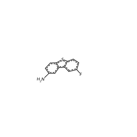 Nc1ccc2sc3ccc(F)cc3c2c1